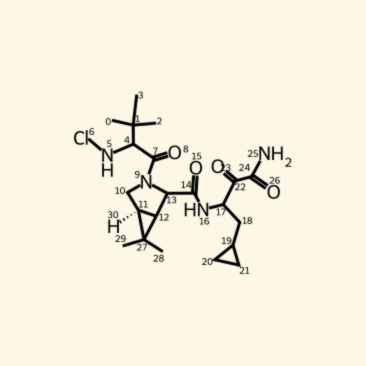 CC(C)(C)C(NCl)C(=O)N1C[C@H]2C(C1C(=O)NC(CC1CC1)C(=O)C(N)=O)C2(C)C